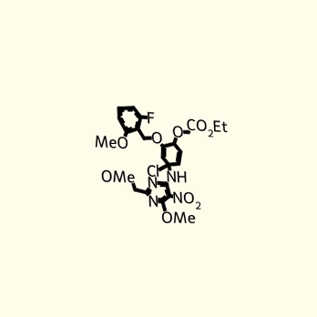 CCOC(=O)COC1C=CC(Cl)(Nc2nc(COC)nc(OC)c2[N+](=O)[O-])C=C1OCc1c(F)cccc1OC